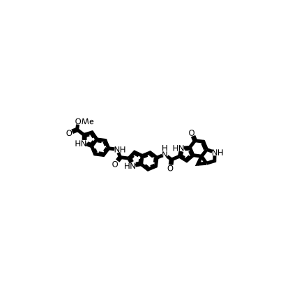 COC(=O)c1cc2cc(NC(=O)c3cc4cc(NC(=O)c5cc6c([nH]5)C(=O)C=C5NCC7CC567)ccc4[nH]3)ccc2[nH]1